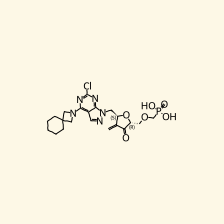 C=C1C(=O)[C@@H](COCP(=O)(O)O)O[C@@H]1Cn1ncc2c(N3CC4(CCCCC4)C3)nc(Cl)nc21